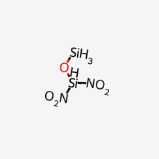 O=[N+]([O-])[SiH](O[SiH3])[N+](=O)[O-]